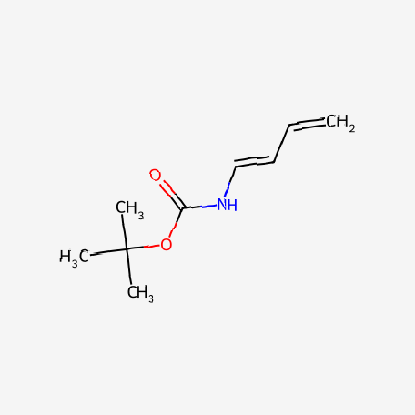 C=C/C=C/NC(=O)OC(C)(C)C